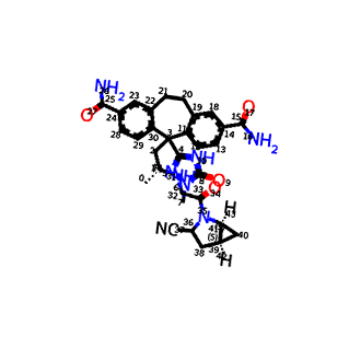 C[C@H](CC1(c2nn(C)c(=O)[nH]2)c2ccc(C(N)=O)cc2CCc2cc(C(N)=O)ccc21)NCC(=O)N1C(C#N)C[C@@H]2C[C@@H]21